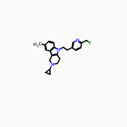 Cc1ccc2c(c1)c1c(n2CCc2ccc(CF)nc2)CCN(C2CC2)C1